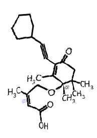 CC1=C(C#CC2CCCCC2)C(=O)CC(C)(C)[C@]1(C)OC/C(C)=C\C(=O)O